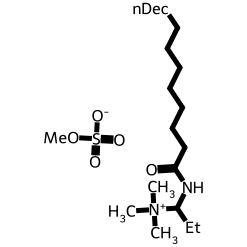 CCCCCCCCCCCCCCCCCC(=O)NC(CC)[N+](C)(C)C.COS(=O)(=O)[O-]